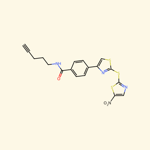 C#CCCCNC(=O)c1ccc(-c2csc(Sc3ncc([N+](=O)[O-])s3)n2)cc1